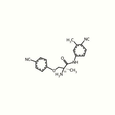 [C-]#[N+]c1ccc(NC(=O)[C@@](C)(N)COc2ccc(C#N)cc2)cc1C